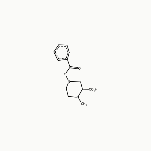 CN1CCN(OC(=O)c2ccccc2)CC1C(=O)O